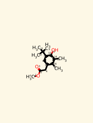 COC(=O)Cc1cc(C(C)(C)C)c(O)c(C)c1C